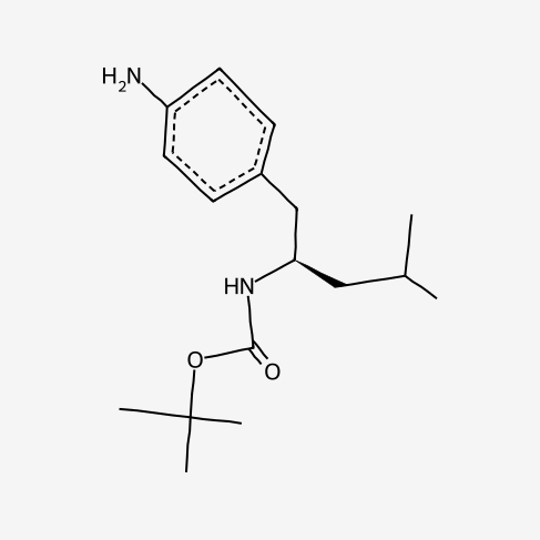 CC(C)C[C@H](Cc1ccc(N)cc1)NC(=O)OC(C)(C)C